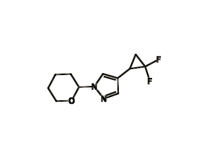 FC1(F)CC1c1cnn(C2CCCCO2)c1